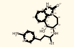 CCC(CCc1ccc(N)nc1)N[C@@H]1CCn2c(=O)[nH]c3cccc(c32)[C@H]1O